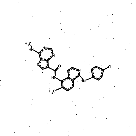 CNc1ncnc2c(C(=O)Nc3c(C)ccc4c(Nc5ccc(Cl)cc5)nccc34)csc12